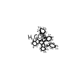 CC1(C)c2ccccc2-c2c1c1c(c3ccccc3n1-c1ccccc1)c1c2c2ccccc2n1-c1ccccc1